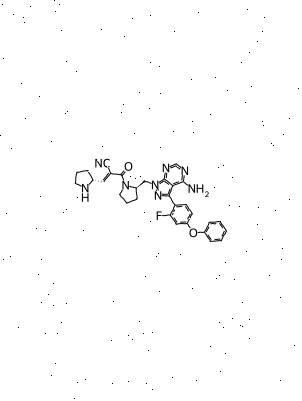 N#C/C(=C\[C@H]1CCCN1)C(=O)N1CCC[C@@H]1Cn1nc(-c2ccc(Oc3ccccc3)cc2F)c2c(N)ncnc21